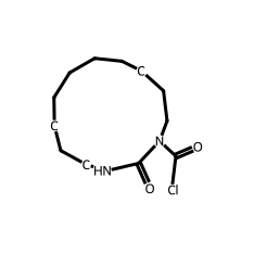 O=C(Cl)N1CCCCCCCCCCNC1=O